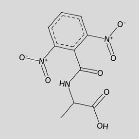 CC(NC(=O)c1c([N+](=O)[O-])cccc1[N+](=O)[O-])C(=O)O